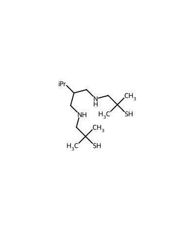 CC(C)C(CNCC(C)(C)S)CNCC(C)(C)S